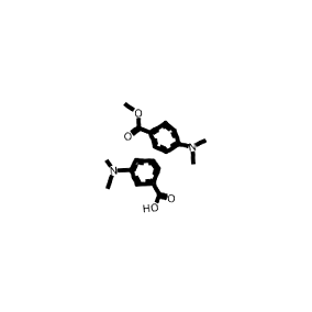 CN(C)c1cccc(C(=O)O)c1.COC(=O)c1ccc(N(C)C)cc1